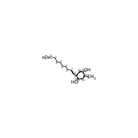 CCCCCCCCCCCCCCCCC=Cc1cc(O)c(C)cc1O